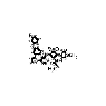 C=CC(=O)Nc1cc(Nc2cc(N3OCC[C@@H]3c3cc(F)cc(Oc4cccc(F)c4)c3)ncn2)c(OC)cc1N1CCN(C)CC1